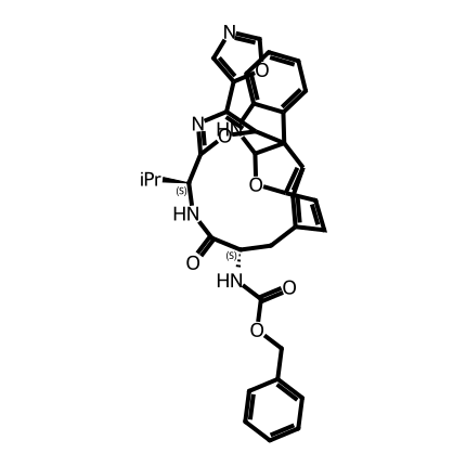 CC(C)[C@@H]1NC(=O)[C@@H](NC(=O)OCc2ccccc2)Cc2ccc3c(c2)C2(c4ccccc4NC2O3)c2oc1nc2-c1cnco1